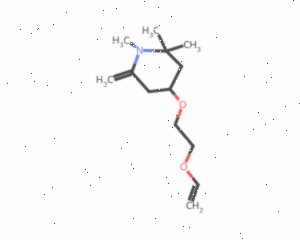 C=COCCOC1CC(=C)N(C)C(C)(C)C1